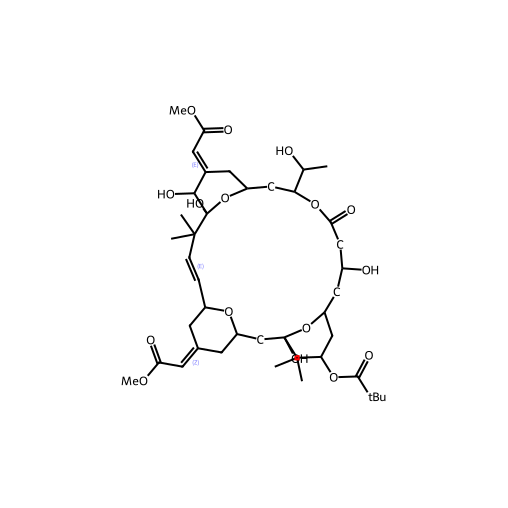 COC(=O)/C=C1\CC2/C=C/C(C)(C)C3(O)OC(C/C(=C\C(=O)OC)C3O)CC(C(C)O)OC(=O)CC(O)CC3CC(OC(=O)C(C)(C)C)C(C)(C)C(O)(CC(C1)O2)O3